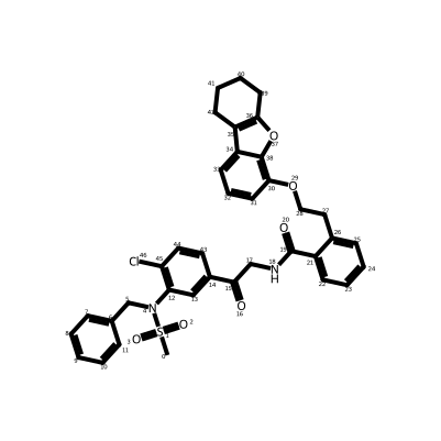 CS(=O)(=O)N(Cc1ccccc1)c1cc(C(=O)CNC(=O)c2ccccc2CCOc2cccc3c4c(oc23)CCCC4)ccc1Cl